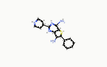 Nc1c(-c2ccccc2)sc2c(N)nc(-c3ccncc3)nc12